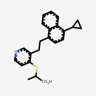 CC(Sc1ccncc1CCc1ccc(C2CC2)c2ccccc12)C(=O)O